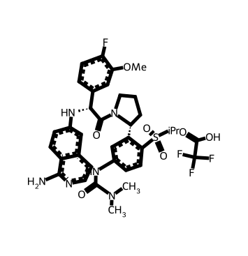 COc1cc([C@@H](Nc2ccc3c(N)nccc3c2)C(=O)N2CCC[C@@H]2c2cc(NC(=O)N(C)C)ccc2S(=O)(=O)C(C)C)ccc1F.O=C(O)C(F)(F)F